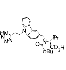 CCCCC(=O)N(Cc1ccc2c(c1)c1ccccc1n2CCc1nnn[nH]1)[C@H](C(=O)O)C(C)C